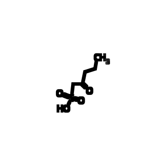 CCCC(=O)CS(=O)(=O)O